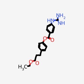 CCOC(=O)CCc1ccc(OC(=O)c2ccc(NC(=N)N)cc2)cc1